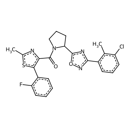 Cc1nc(C(=O)N2CCCC2c2nc(-c3cccc(Cl)c3C)no2)c(-c2ccccc2F)s1